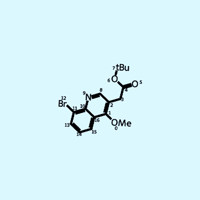 COc1c(CC(=O)OC(C)(C)C)cnc2c(Br)cccc12